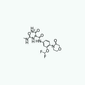 CNC(=O)N[C@H](C(N)=O)C(=O)Nc1ccc(N2CCOCC2=O)c(OC(F)F)c1